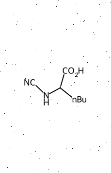 CCCCC(NC#N)C(=O)O